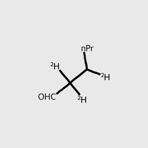 [2H]C(CCC)C([2H])([2H])C=O